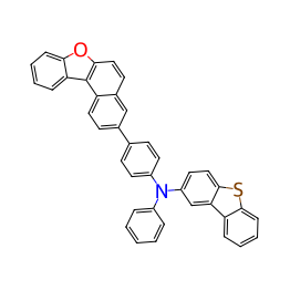 c1ccc(N(c2ccc(-c3ccc4c(ccc5oc6ccccc6c54)c3)cc2)c2ccc3sc4ccccc4c3c2)cc1